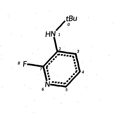 CC(C)(C)Nc1cccnc1F